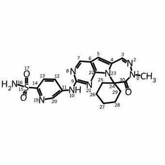 CN1N=Cc2cc3cnc(Nc4ccc(S(N)(=O)=O)nc4)nc3n2C2(CCCCC2)C1=O